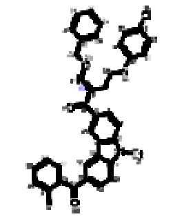 CCn1c2ccc(C(=O)/C(CCSc3ccc(Cl)cc3)=N/OCc3ccccc3)cc2c2cc(C(=O)c3ccccc3C)ccc21